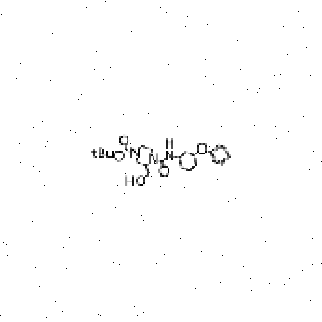 CC(C)(C)OC(=O)N1CCN(C(=O)Nc2cccc(Oc3ccccc3)c2)C(CO)C1